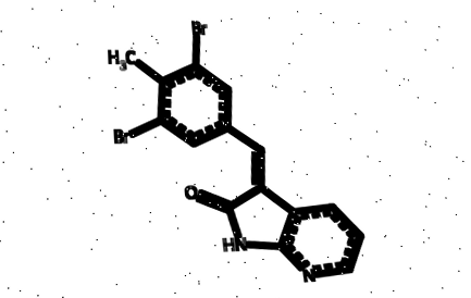 Cc1c(Br)cc(C=C2C(=O)Nc3ncccc32)cc1Br